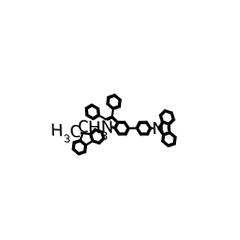 CC1(C)c2ccccc2-c2ccc(-n3c(-c4ccccc4)c(-c4ccccc4)c4cc(-c5ccc(-n6c7ccccc7c7ccccc76)cc5)ccc43)cc21